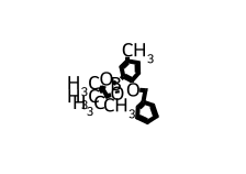 Cc1ccc(OCc2ccccc2)c(B2OC(C)(C)C(C)(C)O2)c1